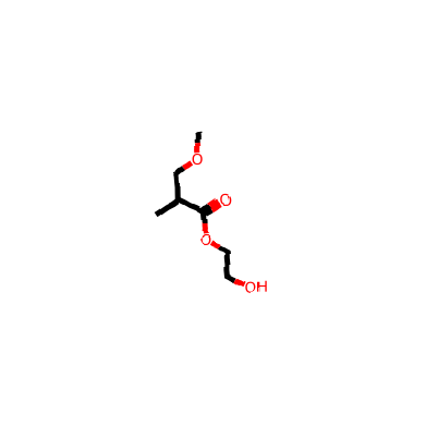 COCC(C)C(=O)OCCO